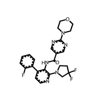 O=C(Nc1c(-c2ccccc2F)ccnc1N1CCC(F)(F)C1)c1cnc(N2CCOCC2)nc1